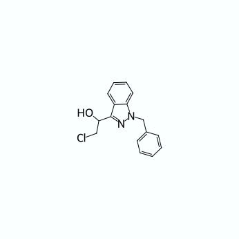 OC(CCl)c1nn(Cc2ccccc2)c2ccccc12